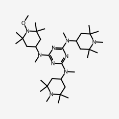 CON1C(C)(C)CC(N(C)c2nc(N(C)C3CC(C)(C)N(C)C(C)(C)C3)nc(N(C)C3CC(C)(C)N(C)C(C)(C)C3)n2)CC1(C)C